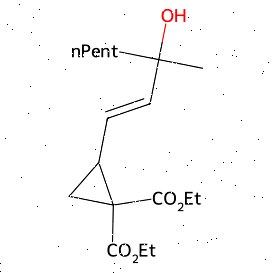 CCCCCC(C)(O)C=CC1CC1(C(=O)OCC)C(=O)OCC